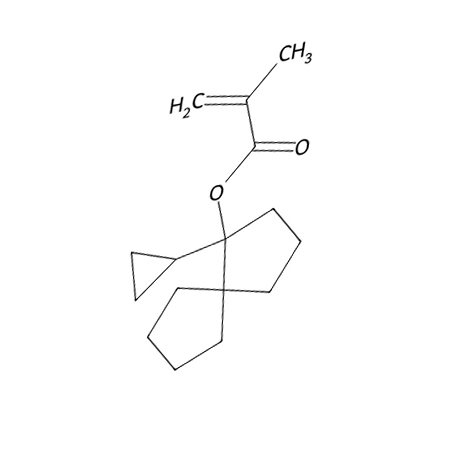 C=C(C)C(=O)OC1(C2CC2)CCCC12CCCC2